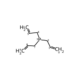 C=CCP(CC=C)CC=C